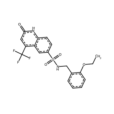 CCOc1ccccc1CNS(=O)(=O)c1ccc2[nH]c(=O)cc(C(F)(F)F)c2c1